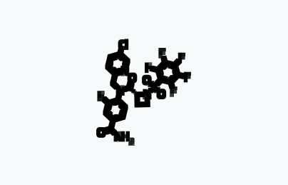 NC(=O)c1ccc(N(Cc2ccc(Cl)cn2)C(=O)[C@H]2CCN2S(=O)(=O)c2c(F)c(F)c(F)c(F)c2F)c(F)c1